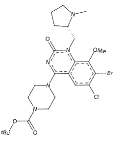 COc1c(Br)c(Cl)cc2c(N3CCN(C(=O)OC(C)(C)C)CC3)nc(=O)n(C[C@@H]3CCCN3C)c12